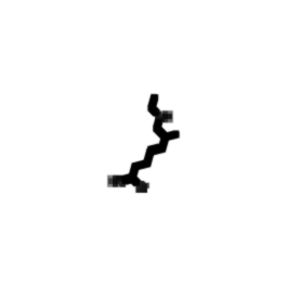 CCNCC(C)/C=C/CCC(=N)Br